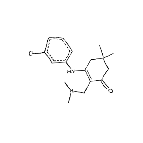 CN(C)CC1=C(Nc2cccc(Cl)c2)CC(C)(C)CC1=O